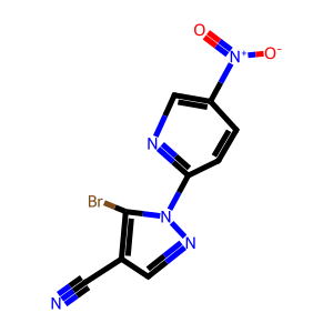 N#Cc1cnn(-c2ccc([N+](=O)[O-])cn2)c1Br